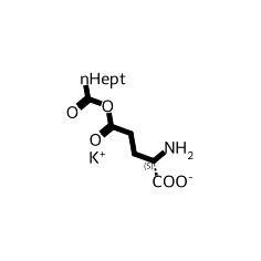 CCCCCCCC(=O)OC(=O)CC[C@H](N)C(=O)[O-].[K+]